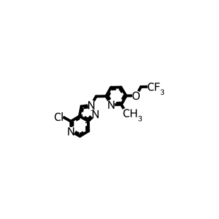 Cc1nc(Cn2cc3c(Cl)nccc3n2)ccc1OCC(F)(F)F